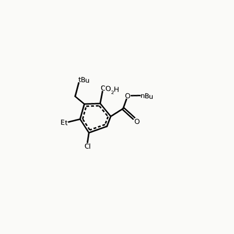 CCCCOC(=O)c1cc(Cl)c(CC)c(CC(C)(C)C)c1C(=O)O